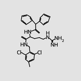 C=C(NCc1c(Cl)cc(C)cc1Cl)C(CCCNC(=N)N)NC(=C)C(c1ccccc1)c1ccccc1